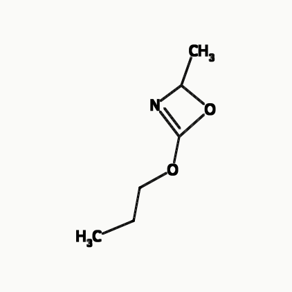 CCCOC1=NC(C)O1